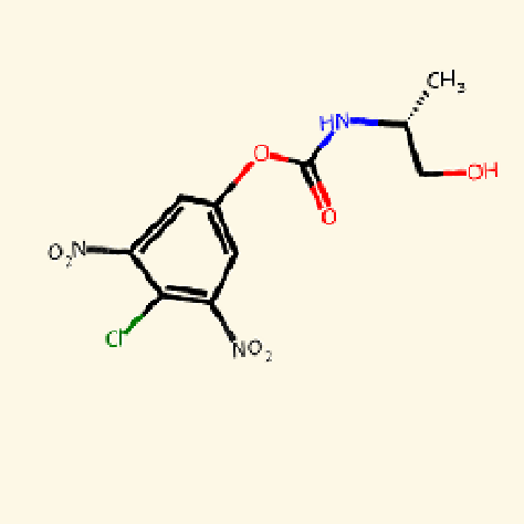 C[C@H](CO)NC(=O)Oc1cc([N+](=O)[O-])c(Cl)c([N+](=O)[O-])c1